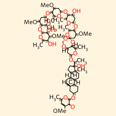 COC1=C[C@@H](C)O[C@@H](O[C@H]2CC[C@@]3(C)C(=CC[C@@H]4[C@@H]3CC[C@@]3(C)[C@H]4CC[C@]3(O)[C@H](C)O[C@H]3C[C@H]4OCO[C@@]5(C[C@@H](OC)[C@H](O[C@H]6C[C@H](O)[C@H](O[C@H]7C[C@H](OC)[C@H](O[C@H]8C[C@H](OC)[C@H](O[C@@H]9O[C@H](C)[C@H](O)[C@H](OC)[C@H]9O)[C@@H](C)O8)[C@@H](C)O7)[C@@H](C)O6)[C@@H](C)O5)O[C@@H]4[C@@H](C)O3)C2)C1=O